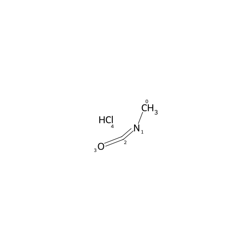 CN=C=O.Cl